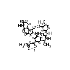 Cc1ccc(NC(=O)NC(C)c2cc(NC3=CC(=O)N(C4CCC(=O)NC4=O)C3=O)cc(C(=O)CN(C)C)c2)cc1Cl